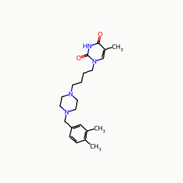 Cc1ccc(CN2CCN(CCCCn3cc(C)c(=O)[nH]c3=O)CC2)cc1C